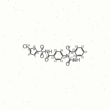 O=C(NS(=O)(=O)c1ccc(Cl)s1)c1ccc(-n2c(=O)[nH]c3ccccc3c2=O)cc1